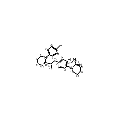 Cc1ccc(N2CCCN=C2C(C)Cc2ccc(N3CCCN=C3N)cc2)cc1